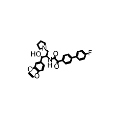 O=C(NC(CN1CCCC1)C(O)c1ccc2c(c1)OC=CO2)C(=O)c1ccc(-c2ccc(F)cc2)cc1